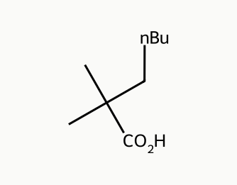 CCCCCC(C)(C)C(=O)O